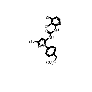 CCOC(=O)Cc1ccc(-n2nc(C(C)(C)C)cc2NC(=O)Nc2cccc(Cl)c2Cl)cc1